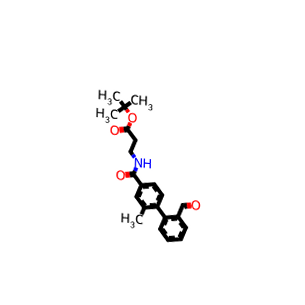 Cc1cc(C(=O)NCCC(=O)OC(C)(C)C)ccc1-c1ccccc1C=O